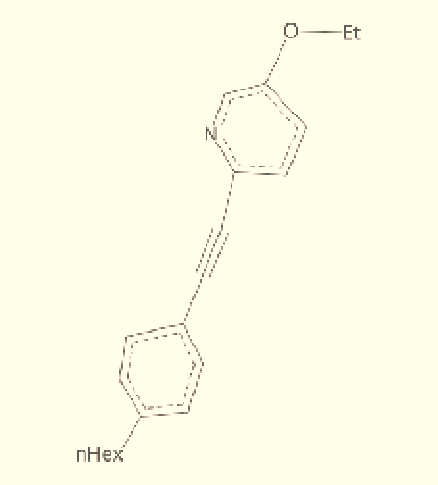 CCCCCCc1ccc(C#Cc2ccc(OCC)cn2)cc1